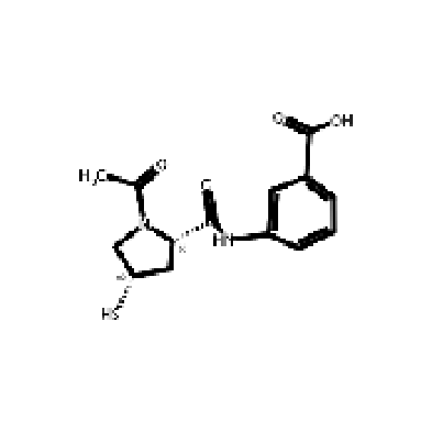 CC(=O)N1C[C@@H](S)C[C@H]1C(=O)Nc1cccc(C(=O)O)c1